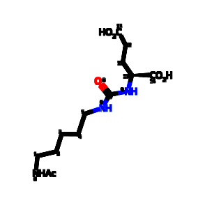 CC(=O)NCCCCCNC(=O)N[C@@H](CCC(=O)O)C(=O)O